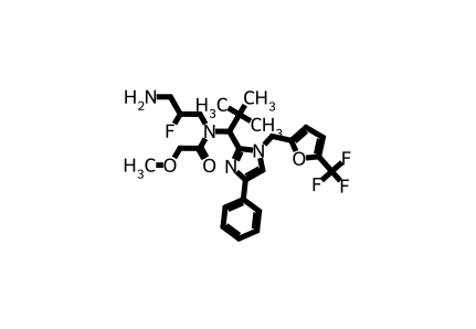 COCC(=O)N(CC(F)CN)C(c1nc(-c2ccccc2)cn1Cc1ccc(C(F)(F)F)o1)C(C)(C)C